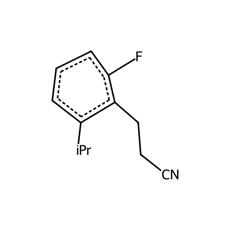 CC(C)c1cccc(F)c1CCC#N